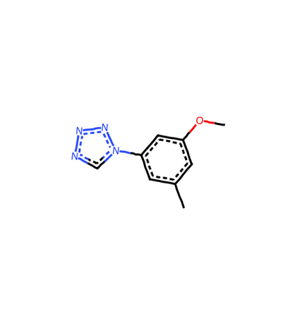 COc1cc(C)cc(-n2cnnn2)c1